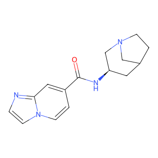 O=C(N[C@@H]1CC2CCN(C2)C1)c1ccn2ccnc2c1